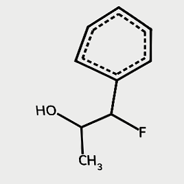 CC(O)C(F)c1ccccc1